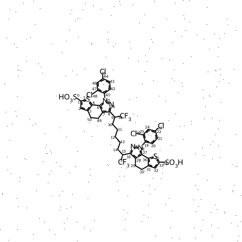 O=S(=O)(O)c1cc2c(s1)-c1c(c(C(CCCCCC(c3nn(-c4ccc(Cl)cc4Cl)c4c3CCc3cc(S(=O)(=O)O)sc3-4)C(F)(F)F)C(F)(F)F)nn1-c1ccc(Cl)cc1Cl)CC2